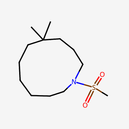 CC1(C)CCCCCCN(S(C)(=O)=O)CCC1